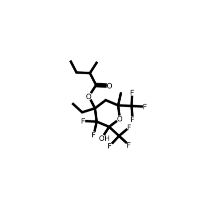 CCC(C)C(=O)OC1(CC)CC(C)(C(F)(F)F)OC(O)(C(F)(F)F)C1(F)F